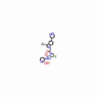 CC(=O)c1cn(CC(=O)N2C[C@H](F)C[C@H]2C(=O)Nc2cccnc2O)c2ccc(-c3ccnnc3)cc12